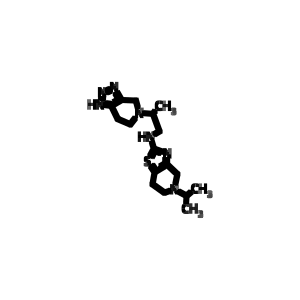 CC(C)N1CCc2sc(NCC(C)N3CCc4[nH]nnc4C3)nc2C1